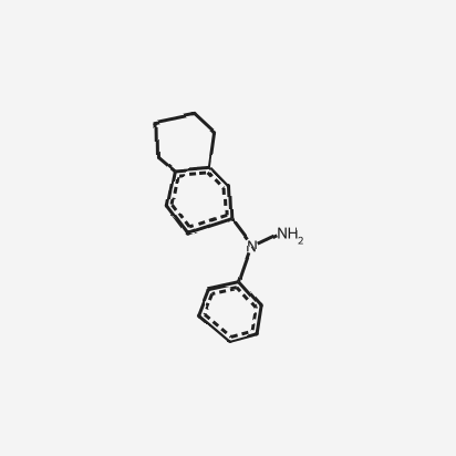 NN(c1ccccc1)c1ccc2c(c1)CCCC2